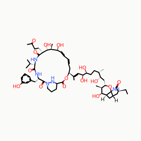 CC[C@H]1C[C@@H]2C[C@H]3[C@@H](O)[C@@H](C)[C@H](C[C@H](O)[C@@H](C)CC[C@H](O)[C@@H](O)/C=C(\C)[C@@H]4C/C=C/C=C/[C@H](O)[C@H](C)[C@@H](O)[C@@H](CCC(C)=O)C(=O)N[C@@H](C(C)C)C(=O)N[C@@H](Cc5cccc(O)c5)C(=O)N5CCCC(N5)C(=O)O4)O[C@]23NC1=O